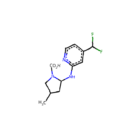 CC1CC(Nc2cc(C(F)F)ccn2)N(C(=O)O)C1